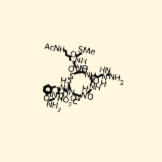 CSCC(=O)N[C@@H](CCCCNC(C)=O)C(=O)N[C@H]1CSSC[C@@H](C(=O)N[C@@H](Cc2ccccc2)C(=O)NCC(N)=O)NC(=O)[C@H](CC(=O)O)NC(=O)CNC(=O)[C@H](CCCNC(=N)N)NC1=O